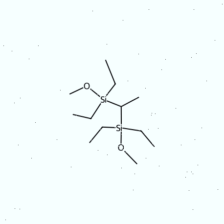 CC[Si](CC)(OC)C(C)[Si](CC)(CC)OC